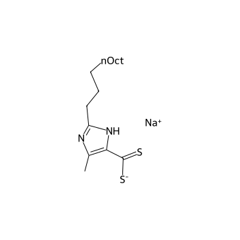 CCCCCCCCCCCc1nc(C)c(C(=S)[S-])[nH]1.[Na+]